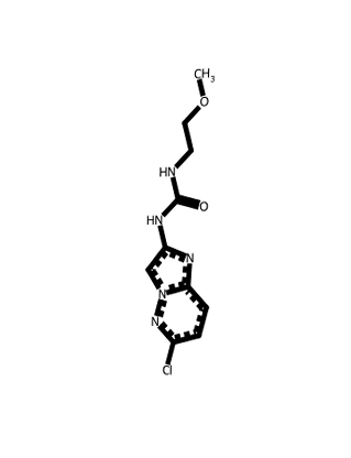 COCCNC(=O)Nc1cn2nc(Cl)ccc2n1